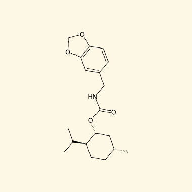 CC(C)[C@@H]1CC[C@@H](C)C[C@H]1OC(=O)NCc1ccc2c(c1)OCO2